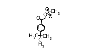 CC(C)(C)c1ccc(C(=O)COS(C)(=O)=O)cc1